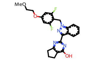 COCCOc1cc(F)c(Cn2nc(-c3nc(O)c4c(n3)CCC4)c3ccccc32)c(F)c1